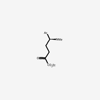 CCOC(=O)C(=O)CC[C@H](NC)C(C)=O